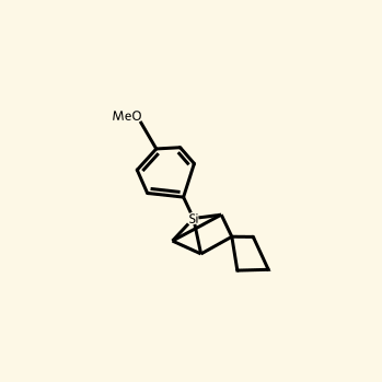 COc1ccc([Si]23C4C2C2(CCC2)C43)cc1